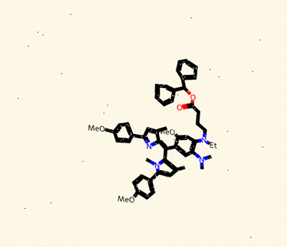 CCN(CCCC(=O)OC(c1ccccc1)c1ccccc1)c1cc(OC)c(/C(=C2/N=C(c3ccc(OC)cc3)C=C2C)c2c(C)cc(-c3ccc(OC)cc3)n2C)cc1N(C)C